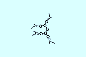 CCCCC(CC)COc1ccc(-c2cc(-c3ccc(OCC(CC)CCCC)cc3)cc(-c3cc(C)cc(-c4cc(-c5ccc(OCC(CC)CCCC)cc5)cc(-c5ccc(OCC(CC)CCCC)cc5)c4)c3)c2)cc1